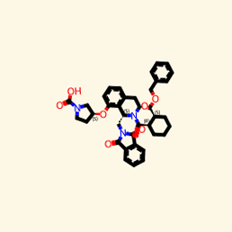 O=C(OCc1ccccc1)[C@H]1CCCC[C@H]1C(=O)N1CCc2cccc(O[C@H]3CCN(C(=O)O)C3)c2[C@H]1CN1C(=O)c2ccccc2C1=O